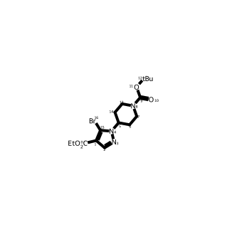 CCOC(=O)c1cnn(C2CCN(C(=O)OC(C)(C)C)CC2)c1Br